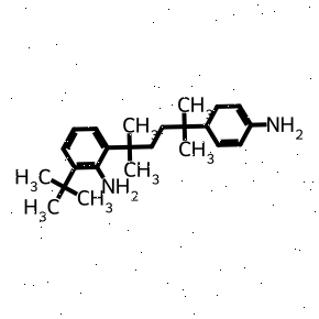 CC(C)(C)c1cccc(C(C)(C)CCC(C)(C)C2C=CC(N)=CC2)c1N